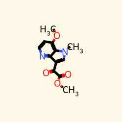 COC(=O)C(=O)c1cn(C)c2c(OC)ccnc12